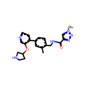 Cc1cc(-c2ccncc2OC2CCNC2)ccc1CNC(=O)c1cn(C(C)(C)C)nn1